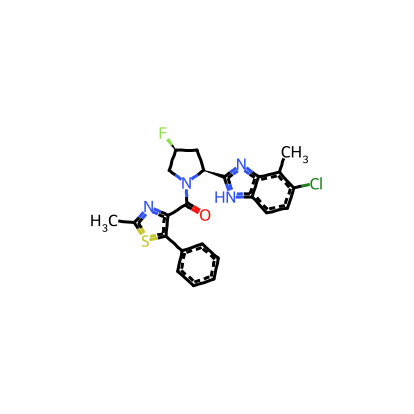 Cc1nc(C(=O)N2C[C@@H](F)C[C@H]2c2nc3c(C)c(Cl)ccc3[nH]2)c(-c2ccccc2)s1